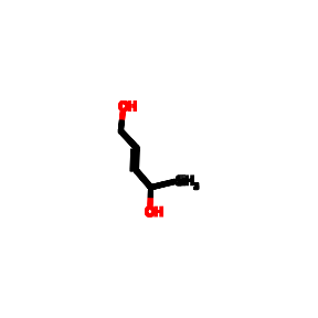 OCC=CC(O)[SiH3]